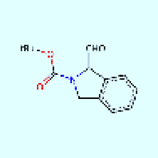 CC(C)(C)OC(=O)N1Cc2ccccc2C1C=O